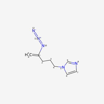 C=C(CCCn1ccnc1)N=[N+]=[N-]